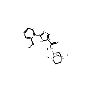 COc1ccccc1-c1ncc(C(=O)N[C@@H]2C[C@H]3CC[C@@H]2N3)s1